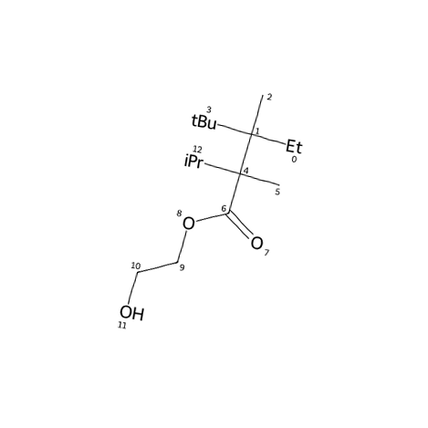 CCC(C)(C(C)(C)C)C(C)(C(=O)OCCO)C(C)C